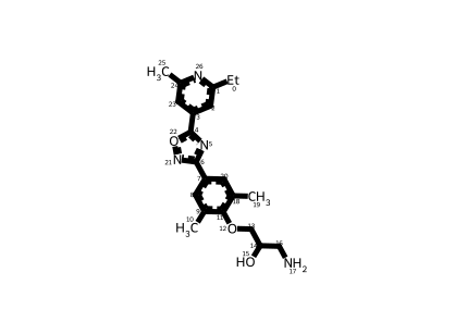 CCc1cc(-c2nc(-c3cc(C)c(OCC(O)CN)c(C)c3)no2)cc(C)n1